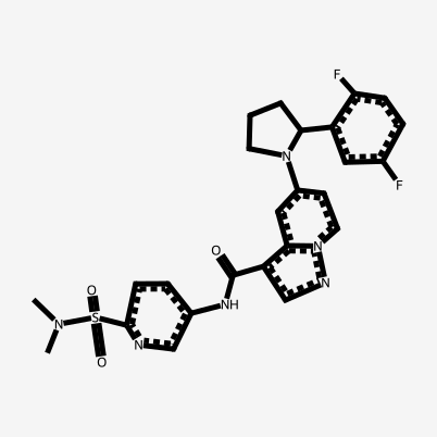 CN(C)S(=O)(=O)c1ccc(NC(=O)c2cnn3ccc(N4CCCC4c4cc(F)ccc4F)cc23)cn1